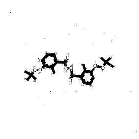 Cc1c(OOC(C)(C)C)cccc1C(=O)OOC(=O)c1cccc(OOC(C)(C)C)c1C